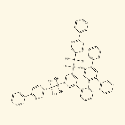 OC(O)(c1ccc(-c2ccccc2)nc1)C(O)(O)c1cc(-c2ccccc2-c2cnc(-c3ccccc3)cc2-c2ccccc2)cc(C(O)(O)C(O)(O)c2ccc(-c3ccccc3)nc2)c1